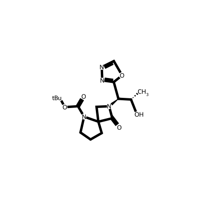 C[C@H](O)[C@H](c1nnco1)N1CC2(CCCN2C(=O)OC(C)(C)C)C1=O